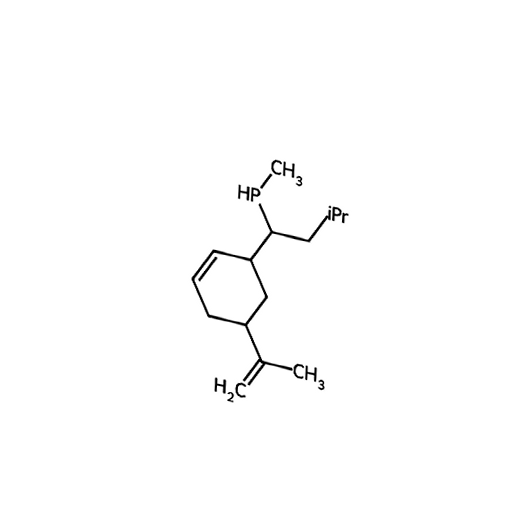 C=C(C)C1CC=CC(C(CC(C)C)PC)C1